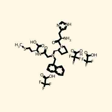 CSCC[C@H](NC(=O)CN(Cc1cccc2ccccc12)C[C@@H]1CCCN1C(=O)[C@H](N)Cc1c[nH]cn1)C(=O)O.O=C(O)C(F)(F)F.O=C(O)C(F)(F)F.O=C(O)C(F)(F)F